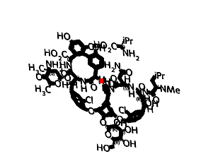 CC(C)[C@H](N)C(=O)O.CN[C@H](CC(C)C)C(=O)N[C@H]1C(=O)N[C@@H](CC(N)=O)C(=O)N[C@H]2C(=O)N[C@H]3C(=O)N[C@H](C(=O)N[C@H](C(=O)O)c4cc(O)cc(O)c4-c4cc3ccc4O)[C@H](O[C@H]3C[C@](C)(N)C(=O)[C@H](C)O3)c3ccc(c(Cl)c3)Oc3cc2cc(c3O[C@@H]2O[C@H](CO)[C@@H](O)[C@H](O)[C@H]2O)Oc2ccc(cc2Cl)[C@H]1O